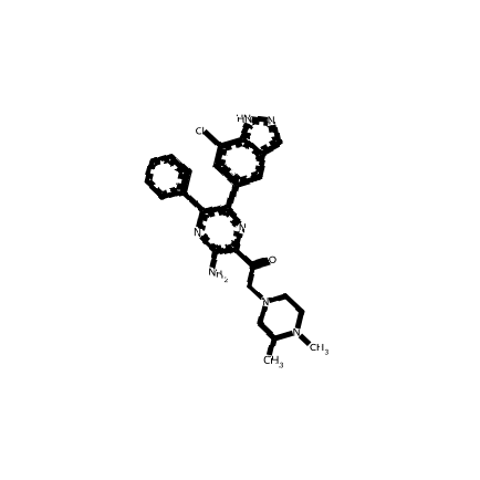 CC1CN(CC(=O)c2nc(-c3cc(Cl)c4[nH]ncc4c3)c(-c3ccccc3)nc2N)CCN1C